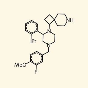 COc1ccc(CN2CCN(C3CCC34CCNCC4)C(c3ccccc3C(C)C)C2)cc1F